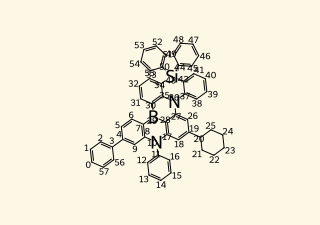 c1ccc(-c2ccc3c(c2)N(c2ccccc2)c2cc(C4CCCCC4)cc4c2B3c2cccc3c2N4c2ccccc2[Si]3(c2ccccc2)c2ccccc2)cc1